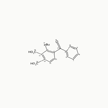 CCCCc1c(C(=O)c2ccccc2)ccc(C(=O)O)c1C(=O)O